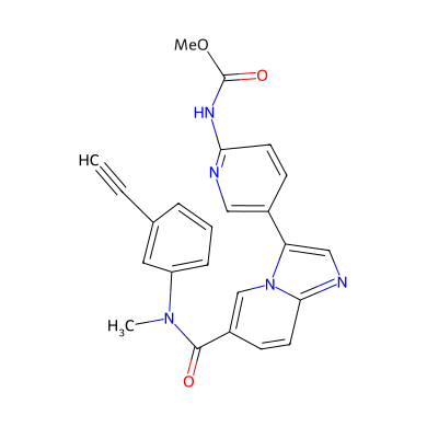 C#Cc1cccc(N(C)C(=O)c2ccc3ncc(-c4ccc(NC(=O)OC)nc4)n3c2)c1